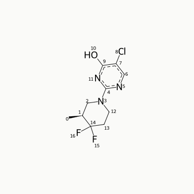 C[C@H]1CN(c2ncc(Cl)c(O)n2)CCC1(F)F